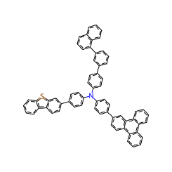 c1cc(-c2ccc(N(c3ccc(-c4ccc5c(c4)sc4ccccc45)cc3)c3ccc(-c4ccc5c6ccccc6c6ccccc6c5c4)cc3)cc2)cc(-c2cccc3ccccc23)c1